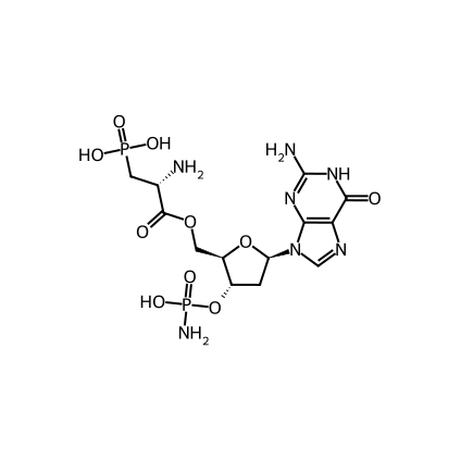 Nc1nc2c(ncn2[C@H]2C[C@H](OP(N)(=O)O)[C@@H](COC(=O)[C@@H](N)CP(=O)(O)O)O2)c(=O)[nH]1